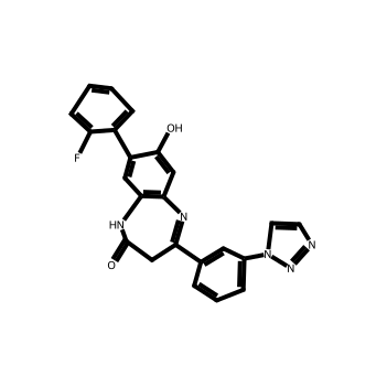 O=C1CC(c2cccc(-n3ccnn3)c2)=Nc2cc(O)c(-c3ccccc3F)cc2N1